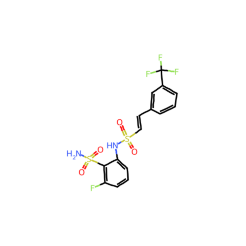 NS(=O)(=O)c1c(F)cccc1NS(=O)(=O)C=Cc1cccc(C(F)(F)F)c1